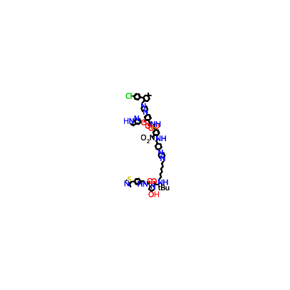 Cc1ncsc1-c1ccc(CNC(=O)[C@@H]2C[C@@H](O)CN2C(=O)[C@@H](NCCCCCCCCN2CCN(C3CCC(CNc4ccc(S(=O)(=O)NC(=O)c5ccc(N6CCN(CC7=C(c8ccc(Cl)cc8)CC(C)(C)CC7)CC6)cc5Oc5cnc6[nH]ccc6c5)cc4[N+](=O)[O-])CC3)CC2)C(C)(C)C)cc1